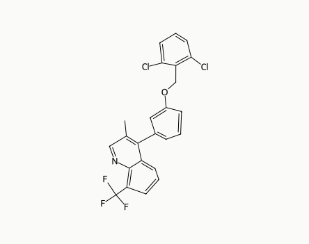 Cc1cnc2c(C(F)(F)F)cccc2c1-c1cccc(OCc2c(Cl)cccc2Cl)c1